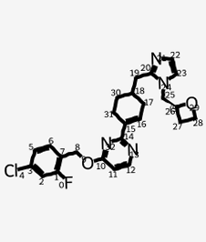 Fc1cc(Cl)ccc1COc1ccnc(C2=CCC(Cc3nccn3C[C@@H]3CCO3)CC2)n1